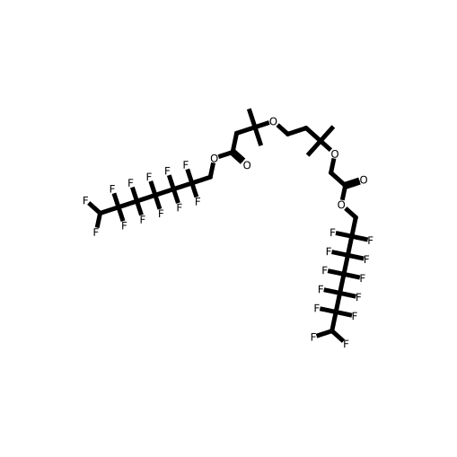 CC(C)(CCOC(C)(C)CC(=O)OCC(F)(F)C(F)(F)C(F)(F)C(F)(F)C(F)(F)C(F)F)OCC(=O)OCC(F)(F)C(F)(F)C(F)(F)C(F)(F)C(F)(F)C(F)F